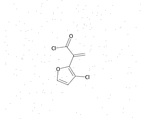 C=C(C(=O)Cl)c1occc1Cl